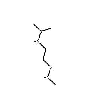 CNSCCNN(C)C